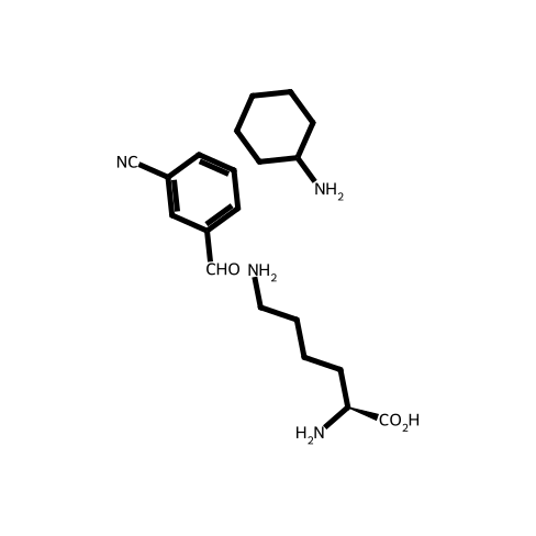 N#Cc1cccc(C=O)c1.NC1CCCCC1.NCCCC[C@H](N)C(=O)O